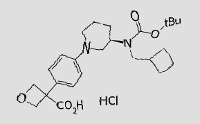 CC(C)(C)OC(=O)N(CC1CCC1)[C@@H]1CCCN(c2ccc(C3(C(=O)O)COC3)cc2)C1.Cl